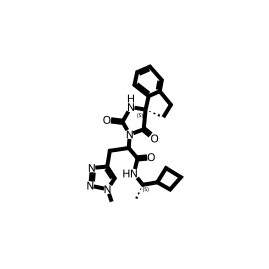 C[C@H](NC(=O)C(Cc1cn(C)nn1)N1C(=O)N[C@]2(CCc3ccccc32)C1=O)C1CCC1